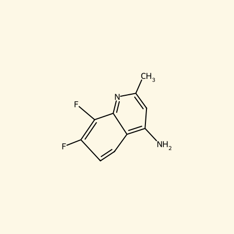 Cc1cc(N)c2ccc(F)c(F)c2n1